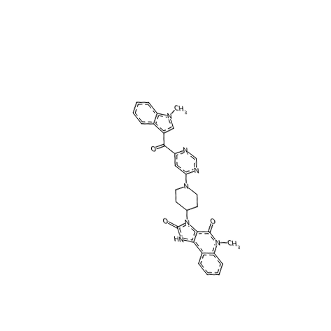 Cn1cc(C(=O)c2cc(N3CCC(n4c(=O)[nH]c5c6ccccc6n(C)c(=O)c54)CC3)ncn2)c2ccccc21